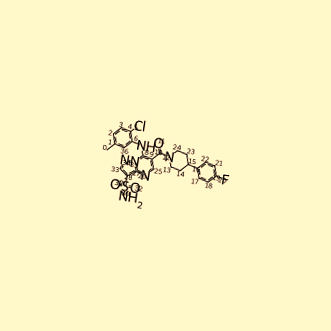 Cc1ccc(Cl)c(Nc2c(C(=O)N3CCC(c4ccc(F)cc4)CC3)cnc3c(S(N)(=O)=O)cnn23)c1